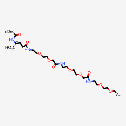 CCCCCCCCCCC(=O)N[C@H](CCC(=O)NCCOCCOCC(=O)NCCOCCOCC(=O)NCCOCCOCC(C)=O)C(=O)O